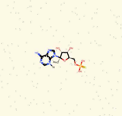 [2H]n1cnc(=N)c2ncn([C@]3(OC)O[C@H](COP(O)(O)=S)[C@@H](O)[C@H]3O)c21